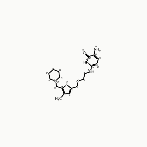 Cc1cc(CSCCNc2ncc(N)c(=O)[nH]2)sc1CN1CCCCC1